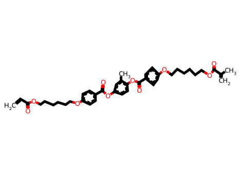 C=CC(=O)OCCCCCCOc1ccc(C(=O)Oc2ccc(OC(=O)c3ccc(OCCCCCCOC(=O)C(=C)C)cc3)c(C)c2)cc1